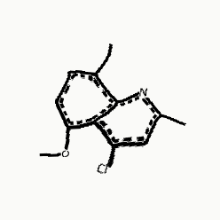 COc1ccc(C)c2nc(C)cc(Cl)c12